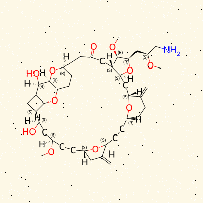 C=C1C[C@@H]2CC[C@@H](OC)C[C@@H](O)[C@@H]3CC4C3OC3CC[C@H](CC(=O)C[C@@H]5[C@@H](OC)[C@@H](C[C@@H](CN)OC)O[C@H]5C[C@H]5O[C@H](CCC5=C)CC[C@@H]1O2)O[C@@H]3[C@@H]4O